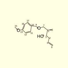 C=CC[C@H](O)[C@H](C)COCc1ccc(OC)cc1